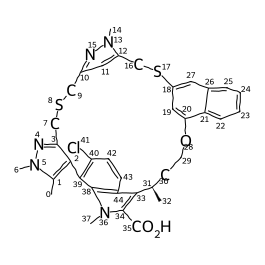 Cc1c2c(nn1C)CSCc1cc(n(C)n1)CSc1cc(c3ccccc3c1)OCC[C@@H](C)c1c(C(=O)O)n(C)c3c-2c(Cl)ccc13